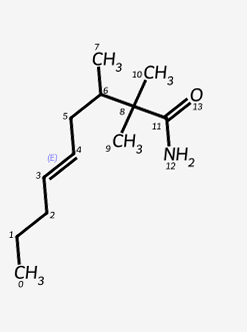 CCC/C=C/CC(C)C(C)(C)C(N)=O